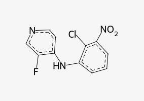 O=[N+]([O-])c1cccc(Nc2ccncc2F)c1Cl